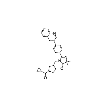 CC1(C)N=C(c2ccc(-c3cnc4ccccc4c3)cc2)N(CC2CCN(C(=O)C3CC3)C2)C1=O